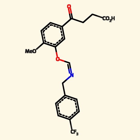 COc1ccc(C(=O)CCC(=O)O)cc1O/C=N\Cc1ccc(C(F)(F)F)cc1